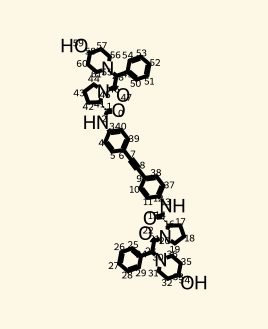 O=C(Nc1ccc(C#Cc2ccc(NC(=O)[C@@H]3CCCN3C(=O)C(c3ccccc3)N3CCC(O)CC3)cc2)cc1)[C@@H]1CCCN1C(=O)C(c1ccccc1)N1CCC(O)CC1